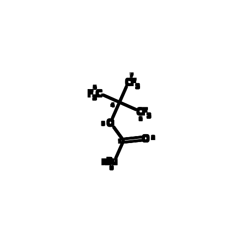 CCCCC(=O)OC(C(F)(F)F)(C(F)(F)F)C(F)(F)F